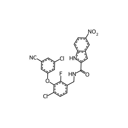 N#Cc1cc(Cl)cc(Oc2c(Cl)ccc(CNC(=O)c3cc4cc([N+](=O)[O-])ccc4[nH]3)c2F)c1